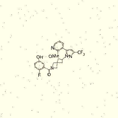 COc1ncccc1-c1cc(C(F)(F)F)nn1C1CC2(C1)CN(C(=O)c1cc(O)ccc1F)C2